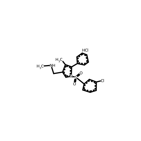 CNCc1cn(S(=O)(=O)c2cccc(Cl)c2)c(-c2ccccc2)c1C.Cl